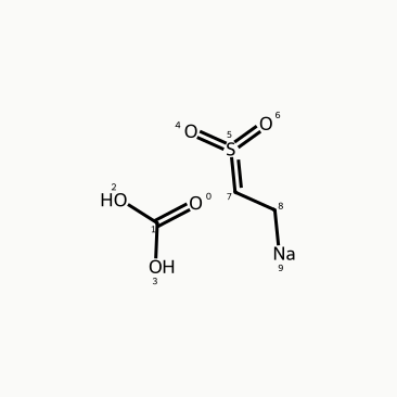 O=C(O)O.O=S(=O)=C[CH2][Na]